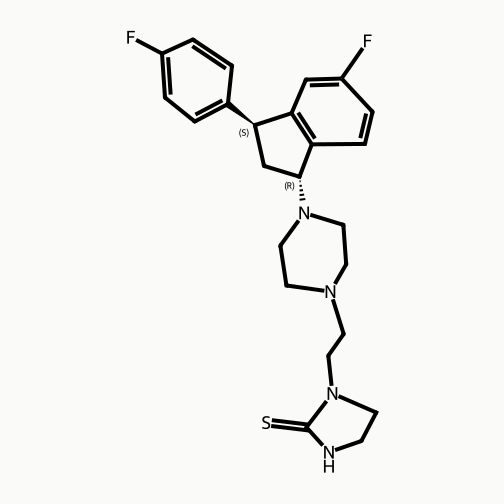 Fc1ccc([C@@H]2C[C@@H](N3CCN(CCN4CCNC4=S)CC3)c3ccc(F)cc32)cc1